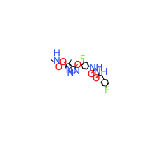 CCNC(=O)Oc1cn2ncnc(Oc3ccc(NC(=O)NC(=O)Cc4ccc(F)cc4)cc3F)c2c1C